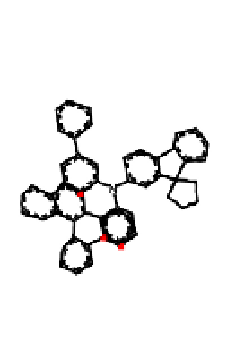 c1ccc(-c2cc(-c3ccccc3)cc(N(c3ccc4c(c3)C3(CCCC3)c3ccccc3-4)c3ccccc3-c3ccccc3-c3ccccc3-c3ccccc3)c2)cc1